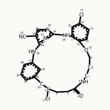 CCN1CCC(=O)NCCCOc2ccc(Cl)cc2Nc2ncc(C#N)c(n2)Nc2cccc(c2)C1